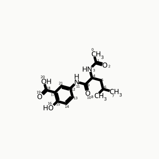 CC(=O)NC(CC(C)C)C(=O)Nc1ccc(O)c(C(=O)O)c1